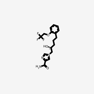 NC(=O)c1cn(C[C@@H](O)CCCc2ccccc2OCC(F)(F)F)cn1